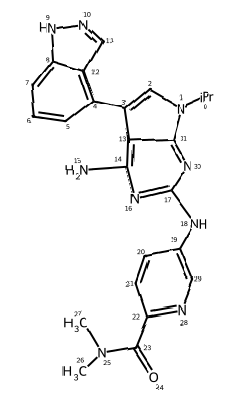 CC(C)n1cc(-c2cccc3[nH]ncc23)c2c(N)nc(Nc3ccc(C(=O)N(C)C)nc3)nc21